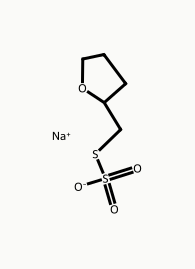 O=S(=O)([O-])SCC1CCCO1.[Na+]